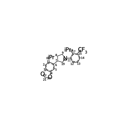 CC(C)c1cc2c(cc1C1CCN(c3cccc(C(F)(F)F)c3C(C)C)C1)OCO2